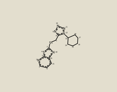 c1cnc2sc(SCc3nnnn3C3CCCCC3)nc2c1